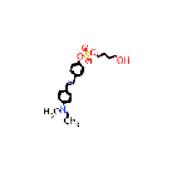 CCN(C)c1ccc(/C=C/c2ccc(OS(=O)(=O)OCCCCO)cc2)cc1